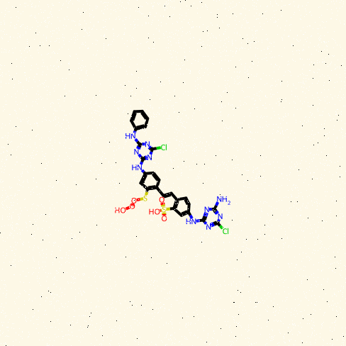 Nc1nc(Cl)nc(Nc2ccc(/C=C/c3ccc(Nc4nc(Cl)nc(Nc5ccccc5)n4)cc3SOOO)c(S(=O)(=O)O)c2)n1